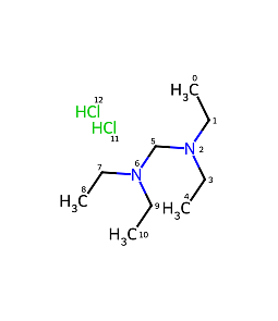 CCN(CC)CN(CC)CC.Cl.Cl